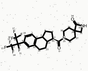 O=C([C@@H]1CCC2c3ccc(C(F)(C(F)(F)F)C(F)(F)F)cc3CCC21)N1CCC2(CC1)CNC2=O